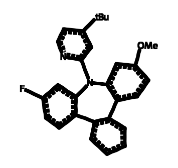 COc1ccc2c(c1)N(c1cc(C(C)(C)C)ccn1)c1cc(F)ccc1-c1ccccc1-2